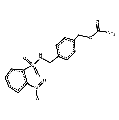 NC(=O)OCc1ccc(CNS(=O)(=O)c2ccccc2[N+](=O)[O-])cc1